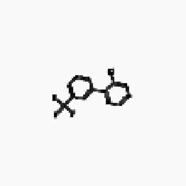 FC(F)(F)c1cccc(-c2cc[c]cc2Cl)c1